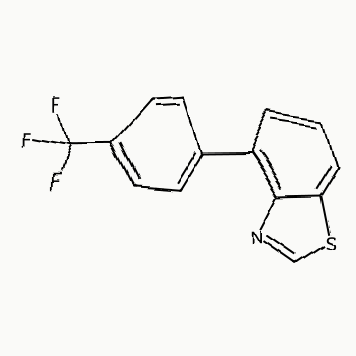 FC(F)(F)c1ccc(-c2cccc3scnc23)cc1